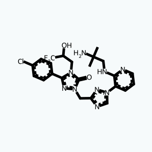 CC(C)(N)CNc1ncccc1-n1cnc(Cn2nc(-c3ccc(Cl)cc3)n(CC(O)C(F)(F)F)c2=O)n1